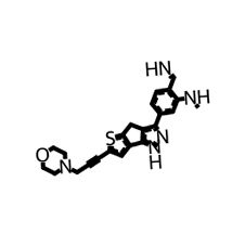 CNc1cc(-c2n[nH]c3c2Cc2sc(C#CCN4CCOCC4)cc2-3)ccc1C=N